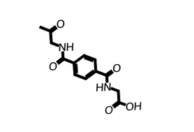 CC(=O)CNC(=O)c1ccc(C(=O)NCC(=O)O)cc1